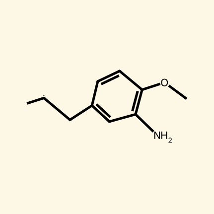 C[CH]Cc1ccc(OC)c(N)c1